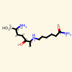 CC(NCCCCCC(N)=O)C(=O)CCC(N)C(=O)O